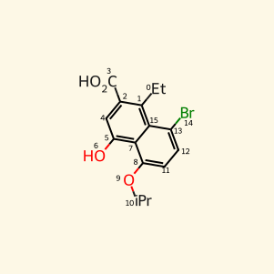 CCc1c(C(=O)O)cc(O)c2c(OC(C)C)ccc(Br)c12